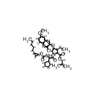 C=CCCC[C@@H]1C[C@H]1OC(=O)N[C@H](C(=O)N1C[C@H](Oc2nc3cc(OC)ccc3nc2Cl)[C@@H](CC)[C@H]1C(=O)OCC(C)C)C1CCCC1